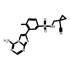 Cc1ccc(S(=O)(=O)NCC2(C#N)CC2)cc1-c1cn2c(N)ncnc2n1